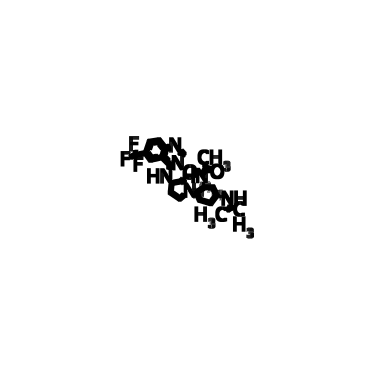 CC(=O)N[C@@H]1C[C@H](NC(C)C)CC[C@@H]1N1CCC(Nc2ncnc3ccc(C(F)(F)F)cc23)C1=O